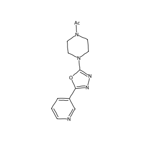 CC(=O)N1CCN(c2nnc(-c3cccnc3)o2)CC1